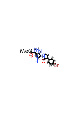 COC(=O)c1ncnc2c(N3CCC(c4ccc(Br)cc4)C3=O)c[nH]c12